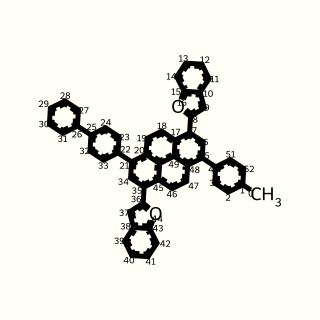 Cc1ccc(-c2cc(-c3cc4ccccc4o3)c3ccc4c(-c5ccc(-c6ccccc6)cc5)cc(-c5cc6ccccc6o5)c5ccc2c3c45)cc1